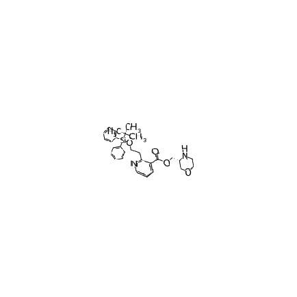 CC(C)(C)[Si](OCCc1ncccc1C(=O)OC[C@H]1COCCN1)(c1ccccc1)c1ccccc1